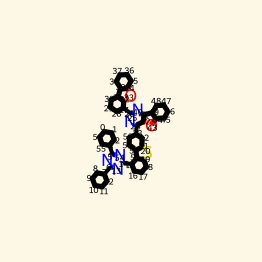 c1ccc(-c2nc(-c3ccccc3)nc(-c3cccc4sc5cc(-c6nc(-c7cccc8c7oc7ccccc78)nc7c6oc6ccccc67)ccc5c34)n2)cc1